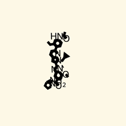 CCc1cc(NC(C)=O)ccc1-c1ccc2cc(-c3nc4cc(C(=O)N5CC6CCC5C6N)cc(OC)c4n3C)n(CC3CC3)c2n1